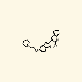 COc1nc2ccccc2cc1C1=CC2=CC(OCCN3CCCCC3)=CCC2=N1